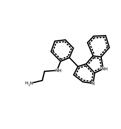 NCCNc1ccccc1-c1ccnc2[nH]c3ccccc3c12